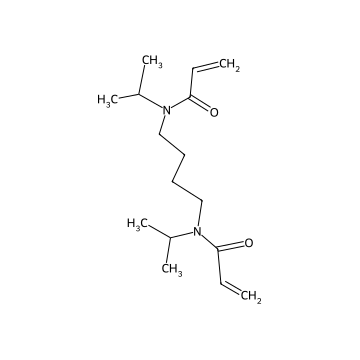 C=CC(=O)N(CCCCN(C(=O)C=C)C(C)C)C(C)C